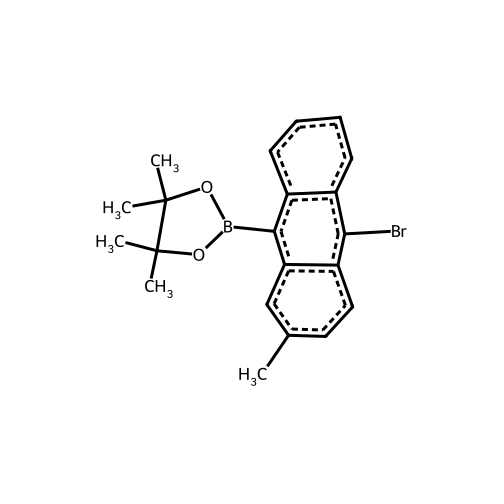 Cc1ccc2c(Br)c3ccccc3c(B3OC(C)(C)C(C)(C)O3)c2c1